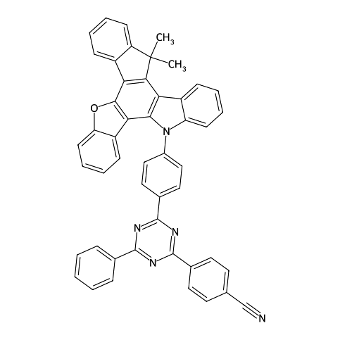 CC1(C)c2ccccc2-c2c1c1c3ccccc3n(-c3ccc(-c4nc(-c5ccccc5)nc(-c5ccc(C#N)cc5)n4)cc3)c1c1c2oc2ccccc21